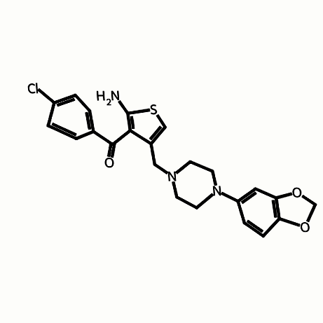 Nc1scc(CN2CCN(c3ccc4c(c3)OCO4)CC2)c1C(=O)c1ccc(Cl)cc1